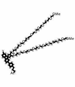 COCCOCCOCCOCCOCCOCCOCCOCCOCCOCCOCCOCCCC1(CCCOCCOCCOCCOCCOCCOCCOCCOCCOCCOCCOCCOC)c2cc(C)ccc2-c2ccc(-c3ccc(CCCC(C)=O)cc3)cc21